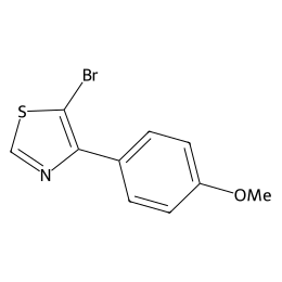 COc1ccc(-c2ncsc2Br)cc1